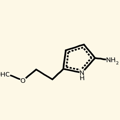 Nc1ccc(CCOC=O)[nH]1